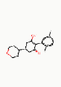 Cc1ccc(C)c(C2=C(O)CC(C3CCOCC3)CC2=O)c1